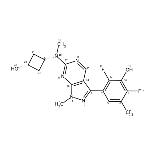 Cn1nc(-c2cc(C(F)(F)F)c(F)c(O)c2F)c2cnc(N(C)[C@H]3C[C@@H](O)C3)nc21